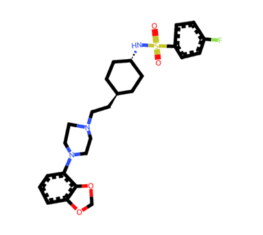 O=S(=O)(N[C@H]1CC[C@H](CCN2CCN(c3cccc4c3OCO4)CC2)CC1)c1ccc(F)cc1